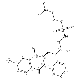 C[C@H](CC[C@@H]1[C@H](C)c2cc(C(F)(F)F)ccc2N[C@H]1c1ccccc1)CNS(=O)(=O)CCCN(C)C